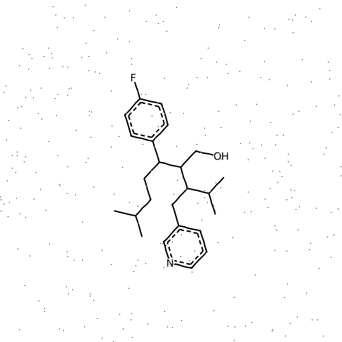 CC(C)CCC(c1ccc(F)cc1)C(CO)C(Cc1cccnc1)C(C)C